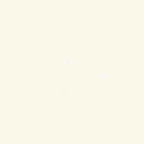 O=C(C1CCCN(S(=O)(=O)c2ccccc2Cl)C1)N1CCOCC1